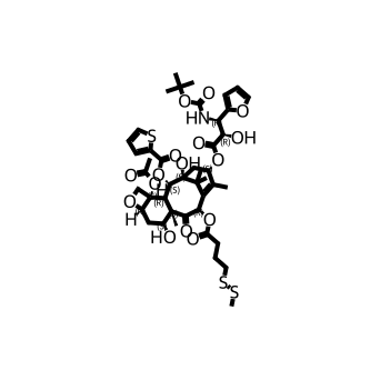 CSSCCCC(=O)O[C@H]1C(=O)[C@@]2(C)[C@H]([C@H](OC(=O)c3cccs3)[C@]3(O)C[C@H](OC(=O)[C@H](O)[C@@H](NC(=O)OC(C)(C)C)c4ccco4)C(C)=C1C3(C)C)[C@]1(OC(C)=O)CO[C@@H]1C[C@@H]2O